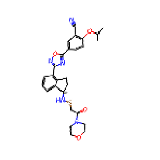 CC(C)Oc1ccc(-c2nc(-c3cccc4c3CC[C@H]4NSCC(=O)N3CCOCC3)no2)cc1C#N